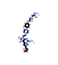 Cn1c(=O)n(CCN2CCN(c3ccc(OCCNCC(N)=O)cc3F)CC2)c2nc(N)n3nc(-c4ccco4)cc3c21